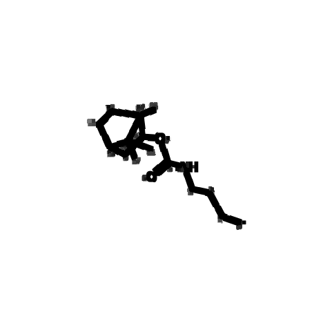 [CH2]CCCNC(=O)OC1CC2CCC1(C)C2(C)C